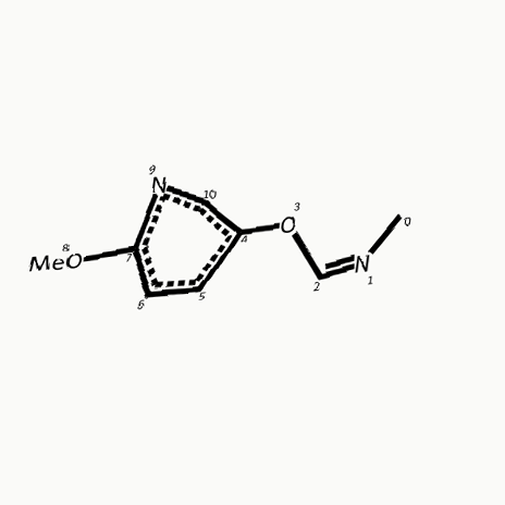 C/N=C\Oc1ccc(OC)nc1